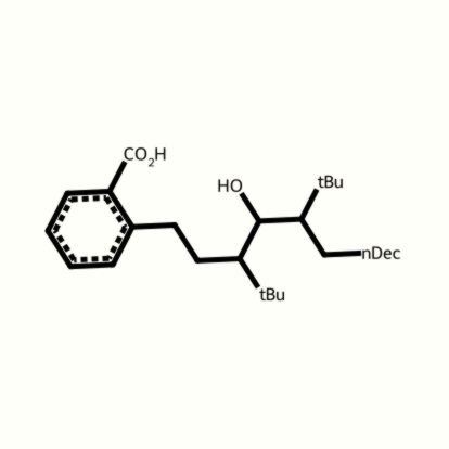 CCCCCCCCCCCC(C(O)C(CCc1ccccc1C(=O)O)C(C)(C)C)C(C)(C)C